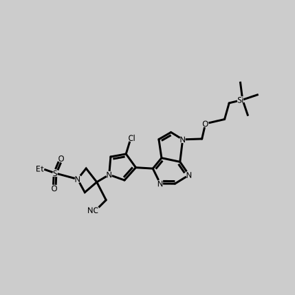 CCS(=O)(=O)N1CC(CC#N)(n2cc(Cl)c(-c3ncnc4c3ccn4COCC[Si](C)(C)C)c2)C1